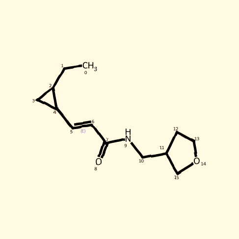 CCC1CC1/C=C/C(=O)NCC1CCOC1